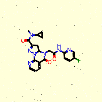 CN(C(=O)C1=NN2c3ncccc3C(=O)N(CC(=O)Nc3ccc(F)cn3)C2C1)C1CC1